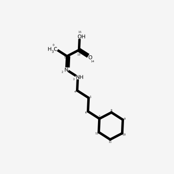 CC(=NNCCCC1CCCCC1)C(=O)O